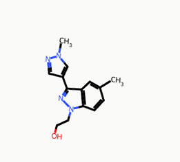 Cc1ccc2c(c1)c(-c1cnn(C)c1)nn2CCO